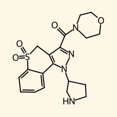 O=C(c1nn(C2CCNC2)c2c1CS(=O)(=O)c1ccccc1-2)N1CCOCC1